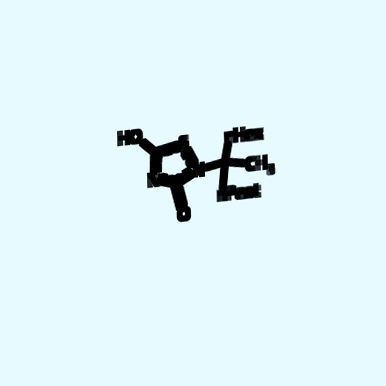 CCCCCCC(C)(CCCCC)n1sc(O)nc1=O